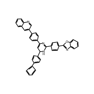 C1=C(c2ccc(-c3cnc4ccccc4c3)cc2)N=C(c2ccc(-c3nc4ccccc4o3)cc2)NC1c1ccc(-c2ccccc2)cc1